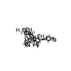 Cc1c(C#Cc2ccc(C=O)cc2)cc(C(F)F)c2cn(C(C(=O)Nc3nccs3)c3ncn4c3CCC4(C)C)nc12